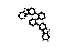 c1ccc(-c2ccccc2-c2ccc3oc4nccnc4c3c2)c(-c2ccc3oc4ccccc4c3c2)c1